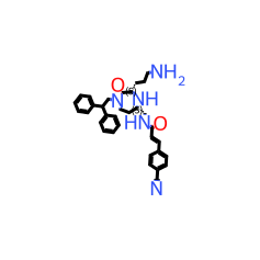 N#Cc1ccc(C=CC(=O)NC[C@@H]2CCN(CC(c3ccccc3)c3ccccc3)C(=O)[C@H](CCCN)N2)cc1